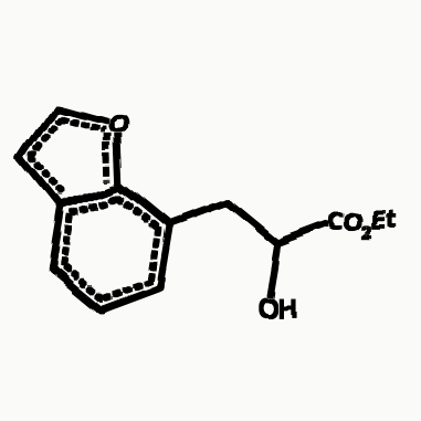 CCOC(=O)C(O)Cc1cccc2ccoc12